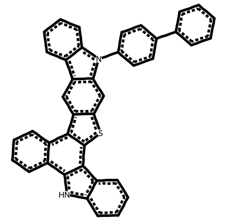 c1ccc(-c2ccc(-n3c4ccccc4c4cc5c(cc43)sc3c5c4ccccc4c4[nH]c5ccccc5c43)cc2)cc1